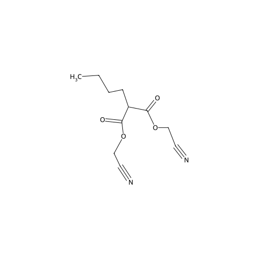 CCCCC(C(=O)OCC#N)C(=O)OCC#N